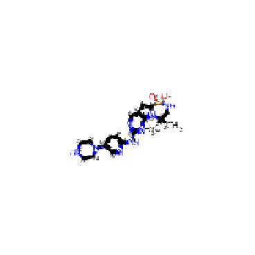 CC1(C)CNS(=O)(=O)c2cc3cnc(Nc4ccc(N5CCNCC5)cn4)nc3n21